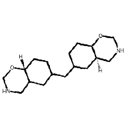 C1NC[C@H]2CC(CC3CC[C@H]4OCNCC4C3)CCC2O1